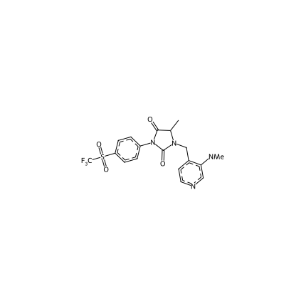 CNc1cnccc1CN1C(=O)N(c2ccc(S(=O)(=O)C(F)(F)F)cc2)C(=O)C1C